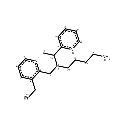 CC(C)Cc1cccnc1CN(CCCCN)C(C)c1ccccn1